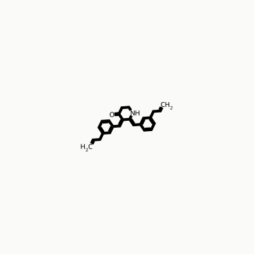 C=CCc1cccc(C=C2NCCC(=O)C2=Cc2cccc(CC=C)c2)c1